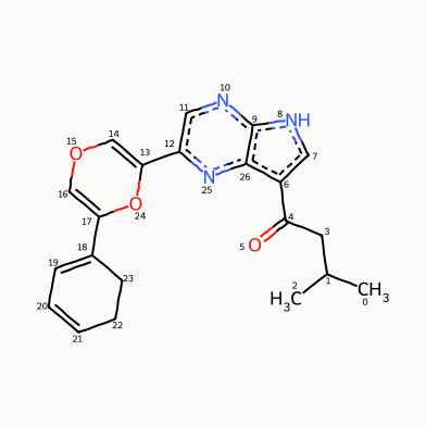 CC(C)CC(=O)c1c[nH]c2ncc(C3=COC=C(C4=CC=CCC4)O3)nc12